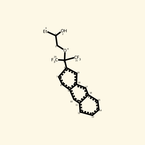 CCC(O)COC(c1ccc2cc3ccccc3cc2c1)(C(F)(F)F)C(F)(F)F